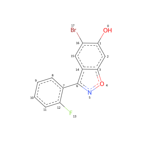 Oc1cc2onc(-c3ccccc3F)c2cc1Br